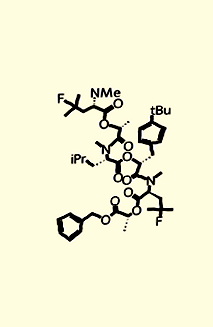 CN[C@@H](CC(C)(C)F)C(=O)O[C@H](C)C(=O)N(C)[C@@H](CC(C)C)C(=O)O[C@H](Cc1ccc(C(C)(C)C)cc1)C(=O)N(C)[C@@H](CC(C)(C)F)C(=O)O[C@H](C)C(=O)OCc1ccccc1